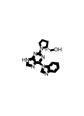 OC[C@H]1CCCN1c1nc(-n2cnc3ccccc32)c2nc[nH]c2n1